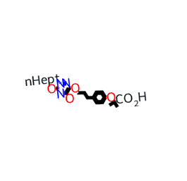 CCCCCCCn1nc(OCCCc2ccc(OC(C)(C)C(=O)O)cc2)c(=O)n(C)c1=O